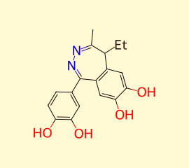 CCC1C(C)=NN=C(c2ccc(O)c(O)c2)c2cc(O)c(O)cc21